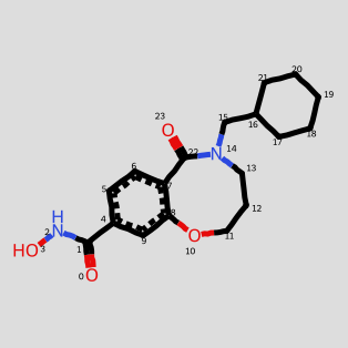 O=C(NO)c1ccc2c(c1)OCCCN(CC1CCCCC1)C2=O